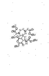 CC(C)(C)OC(=O)CC(C(=O)OC(C)(C)C)C1(CCNC(=O)OC(C)(C)C)CN(CC(=O)OC(C)(C)C)CCN(CC(=O)OC(C)(C)C)C1